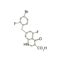 O=C(O)c1c[nH]c2cc(Cc3ccc(Br)cc3F)cc(F)c2c1=O